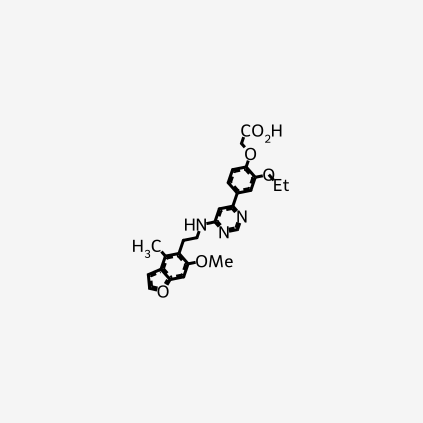 CCOc1cc(-c2cc(NCCc3c(OC)cc4occc4c3C)ncn2)ccc1OCC(=O)O